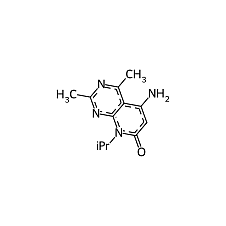 Cc1nc(C)c2c(N)cc(=O)n(C(C)C)c2n1